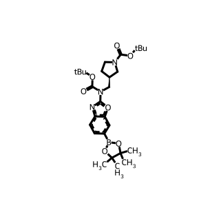 CC(C)(C)OC(=O)N1CC[C@H](CN(C(=O)OC(C)(C)C)c2nc3ccc(B4OC(C)(C)C(C)(C)O4)cc3o2)C1